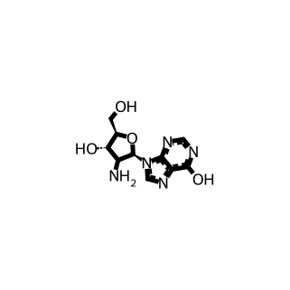 NC1[C@H](n2cnc3c(O)ncnc32)O[C@H](CO)[C@H]1O